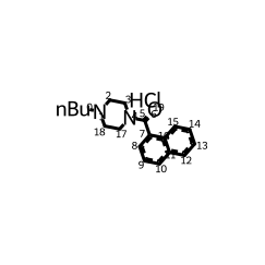 CCCCN1CCN(C(=O)c2cccc3ccccc23)CC1.Cl